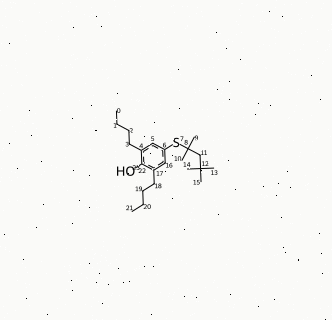 CCCCc1cc(SC(C)(C)CC(C)(C)C)cc(CCCC)c1O